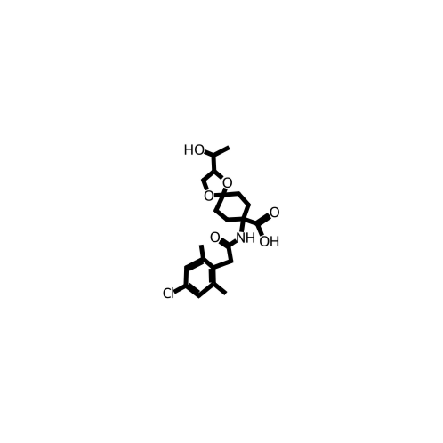 Cc1cc(Cl)cc(C)c1CC(=O)NC1(C(=O)O)CCC2(CC1)OCC(C(C)O)O2